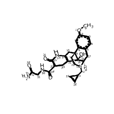 COc1ccc2c(c1)[C@]13CCN(CC4CC4)[C@H](C2)[C@]1(O)CC1=C(C3)NC(=O)C(C(=O)NCC(N)=O)C1